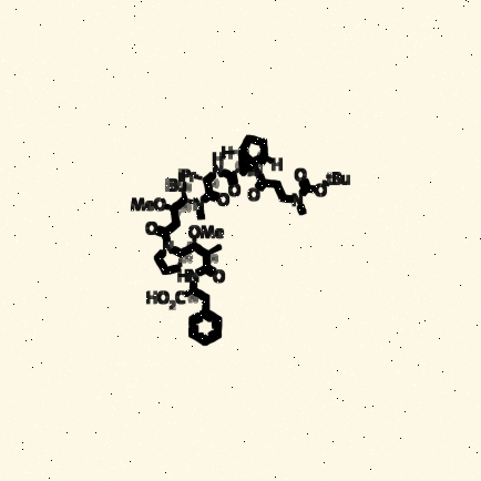 CC[C@H](C)[C@@H]([C@@H](CC(=O)N1CCC[C@H]1[C@H](OC)[C@@H](C)C(=O)N[C@@H](Cc1ccccc1)C(=O)O)OC)N(C)C(=O)[C@@H](NC(=O)[C@@H]1[C@H]2CC[C@@H]([C@H]2C)N1C(=O)CCN(C)C(=O)OC(C)(C)C)C(C)C